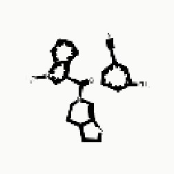 Cc1cccc(C#N)c1.Cn1cc(C(=O)N2C=C3SCCC3CC2)c2ccccc21